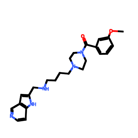 COc1cccc(C(=O)N2CCN(CCCCNCc3cc4cnccc4[nH]3)CC2)c1